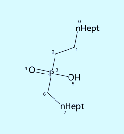 CCCCCCCCCP(=O)(O)CCCCCCCC